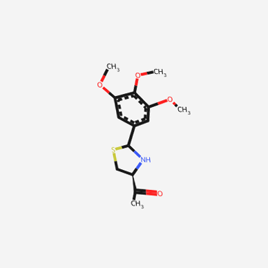 COc1cc(C2N[C@@H](C(C)=O)CS2)cc(OC)c1OC